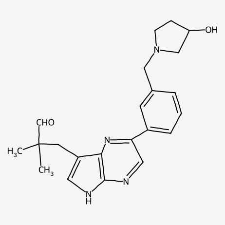 CC(C)(C=O)Cc1c[nH]c2ncc(-c3cccc(CN4CCC(O)C4)c3)nc12